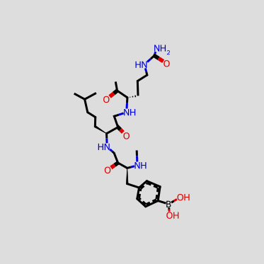 CN[C@@H](Cc1ccc(B(O)O)cc1)C(=O)CN[C@@H](CCCC(C)C)C(=O)CN[C@@H](CCCNC(N)=O)C(C)=O